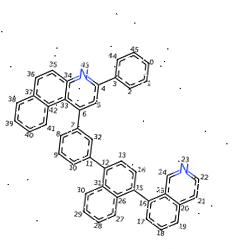 c1ccc(-c2cc(-c3cccc(-c4ccc(-c5cccc6ccncc56)c5ccccc45)c3)c3c(ccc4ccccc43)n2)cc1